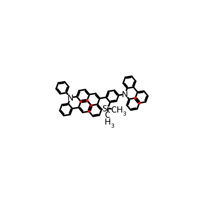 C[Si]1(C)c2cc(N(c3ccccc3)c3ccccc3-c3ccccc3)ccc2-c2cc3ccc(N(c4ccccc4)c4ccccc4-c4ccccc4)cc3c3cccc1c23